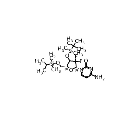 CC(C)[Si](C)(C)OC[C@H]1O[C@@H](n2ccc(N)nc2=O)C(F)(F)C1O[Si](C)(C)C(C)(C)C